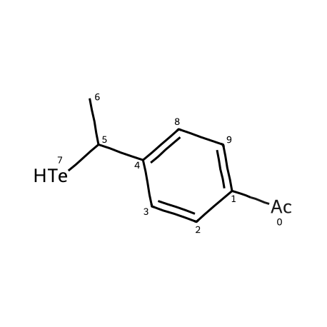 CC(=O)c1ccc(C(C)[TeH])cc1